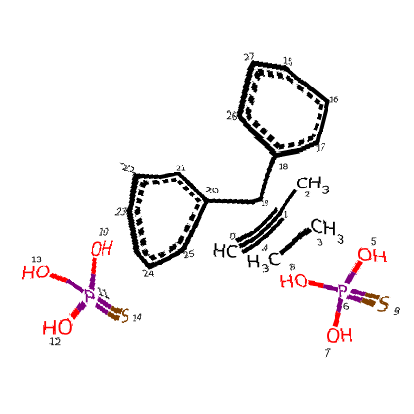 C#CC.CC.OP(O)(O)=S.OP(O)(O)=S.c1ccc(Cc2ccccc2)cc1